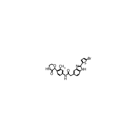 Cc1cc(NC(=O)Cc2ccc3[nH]c(-c4ccc(Br)s4)nc3c2)ccc1C1OCCNC1=O